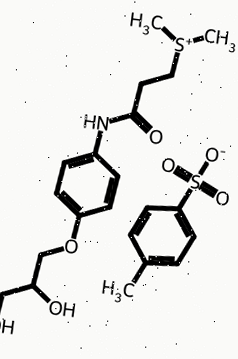 C[S+](C)CCC(=O)Nc1ccc(OCC(O)CO)cc1.Cc1ccc(S(=O)(=O)[O-])cc1